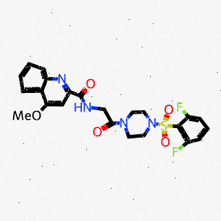 COc1cc(C(=O)NCC(=O)N2CCN(S(=O)(=O)c3c(F)cccc3F)CC2)nc2ccccc12